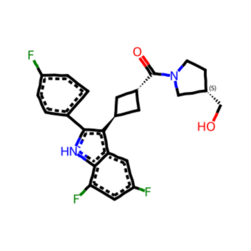 O=C([C@H]1C[C@H](c2c(-c3ccc(F)cc3)[nH]c3c(F)cc(F)cc32)C1)N1CC[C@H](CO)C1